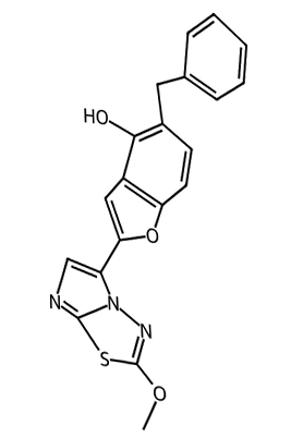 COc1nn2c(-c3cc4c(O)c(Cc5ccccc5)ccc4o3)cnc2s1